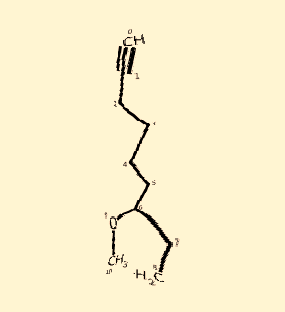 C#CCCCCC(C[CH2])OC